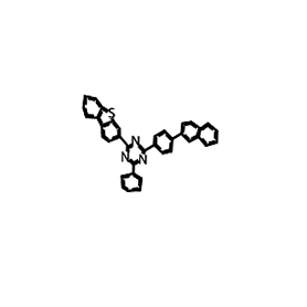 c1ccc(-c2nc(-c3ccc(-c4ccc5ccccc5c4)cc3)nc(-c3ccc4c(c3)sc3ccccc34)n2)cc1